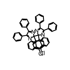 Clc1ccc(C2(C3(c4ccc(Cl)c5ccccc45)N=C(c4ccccc4)C(c4ccccc4)=N3)N=C(c3ccccc3)C(c3ccccc3)=N2)c2ccccc12